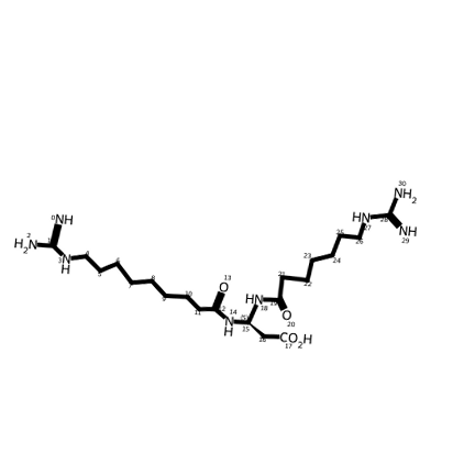 N=C(N)NCCCCCCCCC(=O)N[C@H](CC(=O)O)NC(=O)CCCCCCNC(=N)N